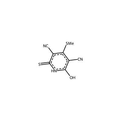 CSc1c(C#N)c(O)[nH]c(=S)c1C#N